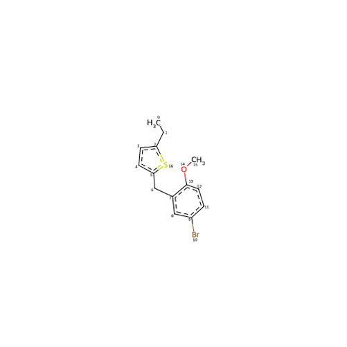 CCc1ccc(Cc2cc(Br)ccc2OC)s1